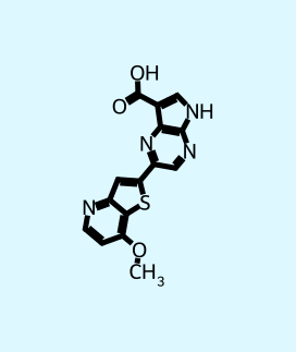 COc1ccnc2cc(-c3cnc4[nH]cc(C(=O)O)c4n3)sc12